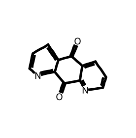 O=C1c2cccnc2C(=O)c2ncccc21